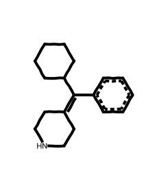 c1ccc(C(=C2CCNCC2)C2CCCCC2)cc1